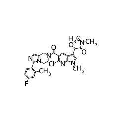 Cc1cc(F)ccc1-c1ncc2n1CCN(C(=O)c1cc3c(C(=O)C(=O)N(C)C)cn(C)c3nc1Cl)C2